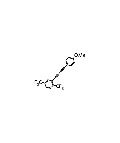 COc1ccc(C#CC#Cc2cc(C(F)(F)F)ccc2C(F)(F)F)cc1